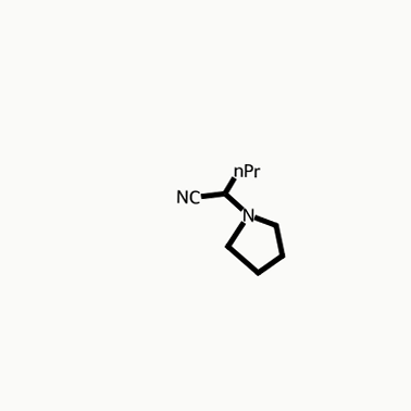 CCCC(C#N)N1CCCC1